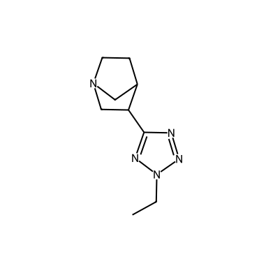 CCn1nnc(C2CN3CCC2C3)n1